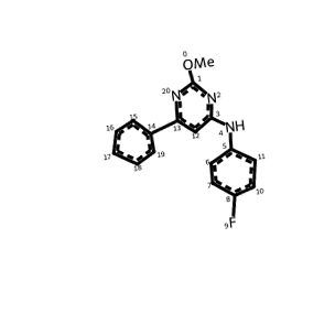 COc1nc(Nc2ccc(F)cc2)cc(-c2ccccc2)n1